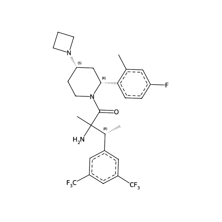 Cc1cc(F)ccc1[C@H]1C[C@@H](N2CCC2)CCN1C(=O)C(C)(N)[C@H](C)c1cc(C(F)(F)F)cc(C(F)(F)F)c1